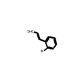 O=[C]C=Cc1ccccc1Br